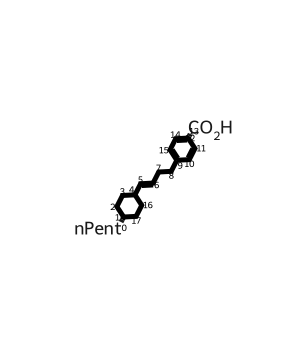 CCCCCC1CCC(C=CCCc2ccc(C(=O)O)cc2)CC1